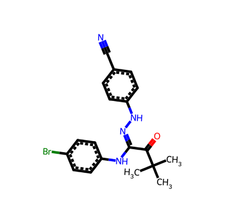 CC(C)(C)C(=O)/C(=N\Nc1ccc(C#N)cc1)Nc1ccc(Br)cc1